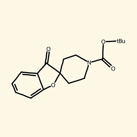 CC(C)(C)OC(=O)N1CCC2(CC1)Oc1ccccc1C2=O